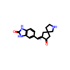 O=C1CC2(CCNC2)C/C1=C\c1ccc2[nH]c(=O)[nH]c2c1